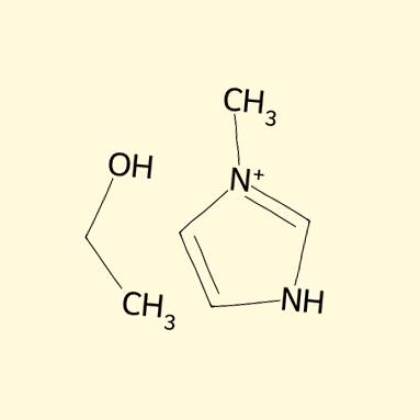 CCO.C[n+]1cc[nH]c1